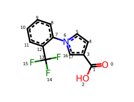 O=C(O)c1ccn(-c2ccccc2C(F)(F)F)c1